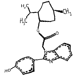 CC(C)C1CC[C@@H](C)C[C@H]1OC(=O)Cn1c(-c2ccc(O)cc2)nc2ccccc21